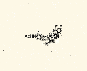 CO[C@@H]1[C@@H](n2cc(-c3ccc(F)c(F)c3F)nn2)[C@@H](O)[C@@H](CO)O[C@@H]1CC1=NOC2(CCC(NC(C)=O)CC2)C1